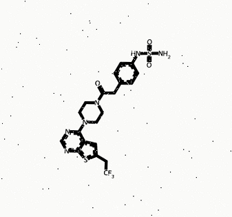 NS(=O)(=O)Nc1ccc(CC(=O)N2CCN(c3ncnc4sc(CC(F)(F)F)cc34)CC2)cc1